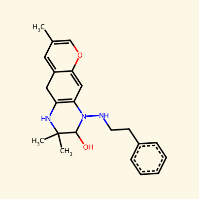 CC1=COC2=CC3=C(CC2=C1)NC(C)(C)C(O)N3NCCc1ccccc1